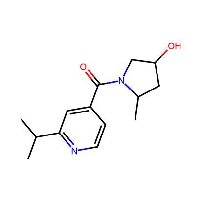 CC(C)c1cc(C(=O)N2CC(O)CC2C)ccn1